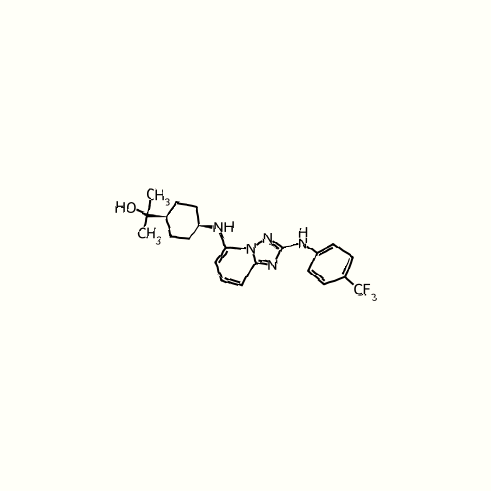 CC(C)(O)[C@H]1CC[C@@H](Nc2cccc3nc(Nc4ccc(C(F)(F)F)cc4)nn23)CC1